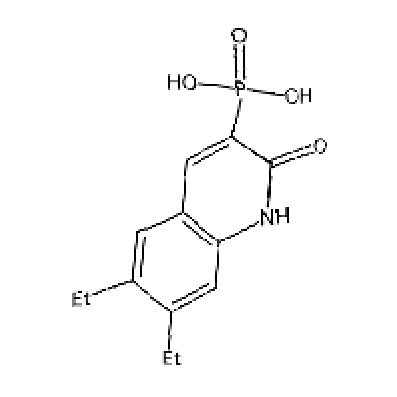 CCc1cc2cc(P(=O)(O)O)c(=O)[nH]c2cc1CC